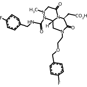 CN1CC(=O)N2[C@@H](CC(=O)O)C(=O)N(CCOCc3ccc(F)cc3)C[C@@H]2N1C(=O)NCc1ccc(F)cc1